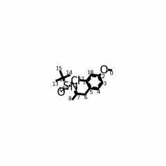 COc1ccc(CC(C)=N[S@+]([O-])C(C)(C)C)c(Cl)c1